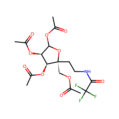 CC(=O)OC[C@@]1(CCNC(=O)C(F)(F)F)OC(OC(C)=O)[C@H](OC(C)=O)[C@@H]1OC(C)=O